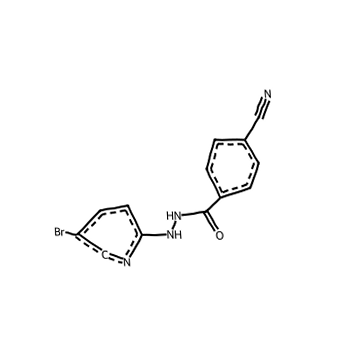 N#Cc1ccc(C(=O)NNc2ccc(Br)cn2)cc1